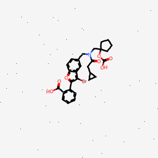 O=C(O)OC1(CN(Cc2ccc3oc(-c4ccccc4C(=O)O)c(Br)c3c2)C(=O)CC2CC2)CCCC1